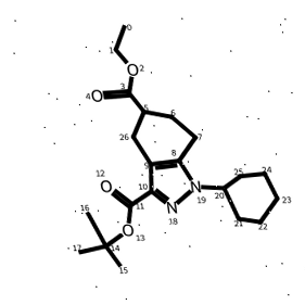 CCOC(=O)C1CCc2c(c(C(=O)OC(C)(C)C)nn2C2CCCCC2)C1